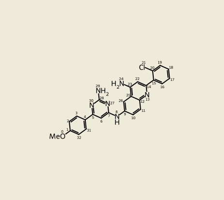 COc1ccc(-c2cc(Nc3ccc4nc(-c5ccccc5Cl)cc(N)c4c3)nc(N)n2)cc1